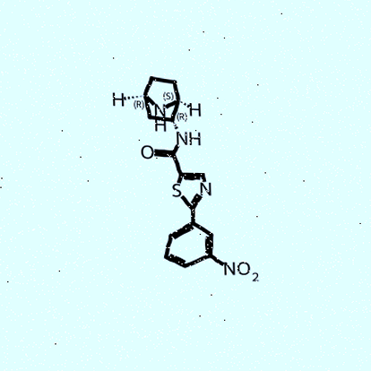 O=C(N[C@@H]1C[C@H]2CC[C@@H]1N2)c1cnc(-c2cccc([N+](=O)[O-])c2)s1